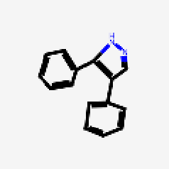 [c]1n[nH]c(-c2ccccc2)c1-c1ccccc1